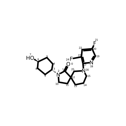 O=C1N([C@H]2CC[C@H](O)CC2)CCC12CCCN(c1ncc(F)cc1F)C2